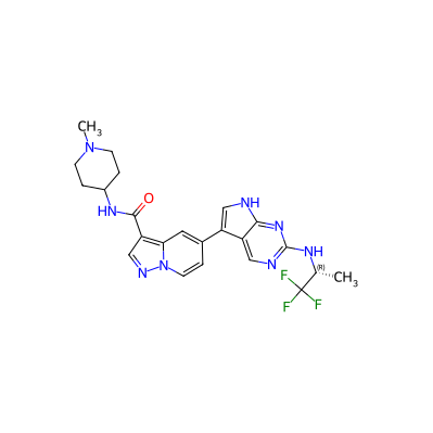 C[C@@H](Nc1ncc2c(-c3ccn4ncc(C(=O)NC5CCN(C)CC5)c4c3)c[nH]c2n1)C(F)(F)F